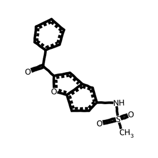 CS(=O)(=O)Nc1ccc2oc(C(=O)c3ccccc3)cc2c1